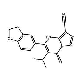 CC(C)c1c(-c2ccc3c(c2)CCO3)[nH]c2c(C#N)cnn2c1=O